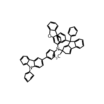 CC1(N(c2ccc(-c3ccc4c(c3)c3ccccc3n4-c3ccccc3)cc2)c2ccc3c(c2)oc2ccccc23)C=C2C(=CC1)c1ccccc1C2(c1ccccc1)c1ccccc1